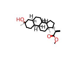 C=C(C(=O)OC)[C@H]1CC[C@H]2[C@@H]3CC[C@@H]4C[C@](C)(O)CC[C@@H]4[C@H]3CC[C@]12C